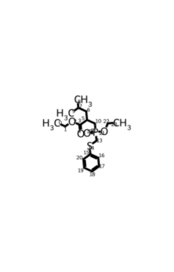 CCOC(=O)C(CC(C)C)CP(=O)(CSc1ccccc1)OCC